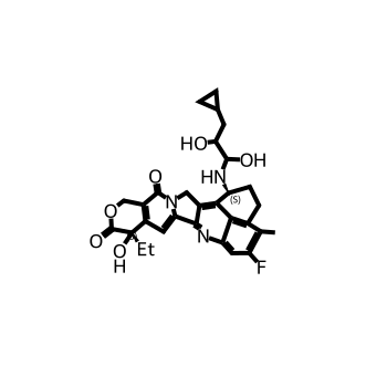 CC[C@@]1(O)C(=O)OCc2c1cc1n(c2=O)Cc2c-1nc1cc(F)c(C)c3c1c2[C@@H](NC(O)C(O)CC1CC1)CC3